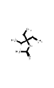 CCC(CC)(CC)OC(C)=O